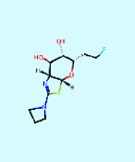 O[C@H]1[C@H](O)[C@H](CCF)O[C@@H]2SC(N3CCC3)=N[C@H]12